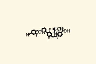 COC1(Cn2c(Cc3cc(F)c(-c4cccc(OCc5ccc(C#N)cc5F)n4)cc3F)nc3ccc(C(=O)O)cc32)CC1